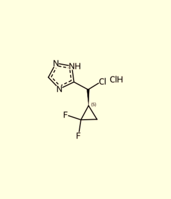 Cl.FC1(F)C[C@@H]1C(Cl)c1ncn[nH]1